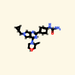 CC1COCCN1c1nc(-c2ccc(NC(N)=O)cc2)nc2c1CN(CC1CC1)C2